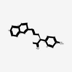 CC(=O)[C@@H](CC=Cc1ccc2ccccc2c1)c1ccc(Cl)cc1